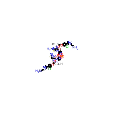 C[n+]1cc(-c2ccc(OC[C@H](O/N=C(\C(=O)N[C@@H]3C(=O)N(OS(=O)(=O)ON4C(=O)[C@@H](NC(=O)/C(=N\O[C@@H](COc5ccc(-c6cn(CCCN)[n+](C)c6)c(Cl)c5)C(=O)O)c5csc(N)n5)C4(C)C)C3(C)C)c3csc(N)n3)C(=O)O)cc2Cl)cn1CCCN